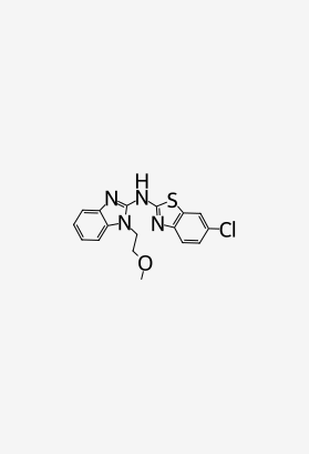 COCCn1c(Nc2nc3ccc(Cl)cc3s2)nc2ccccc21